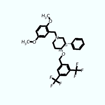 COc1ccc(OC)c(CN2CC[C@@H](OCc3cc(C(F)(F)F)cc(C(F)(F)F)c3)[C@@H](c3ccccc3)C2)c1